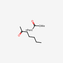 CCCCCC(=O)OC.CCCCCC(C)=O